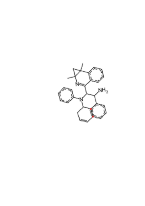 CC12CC1(C)c1ccccc1C(C(C(N)c1ccccc1)N(c1ccccc1)C1C=CC=CC1)=N2